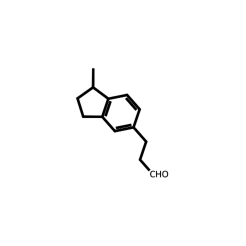 CC1CCc2cc(CCC=O)ccc21